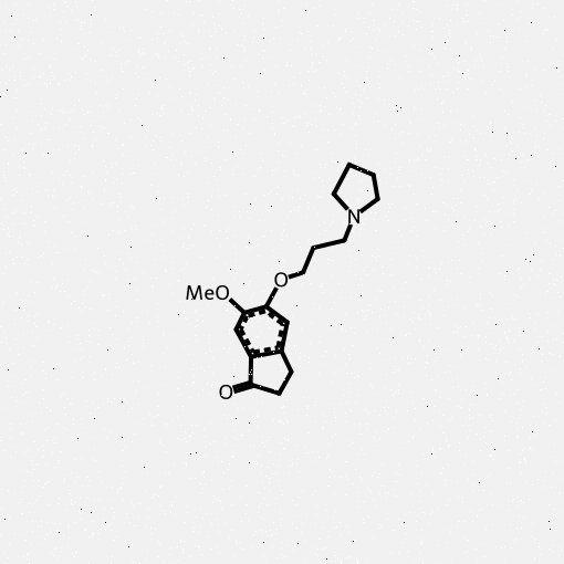 COc1cc2c(cc1OCCCN1CCCC1)CCC2=O